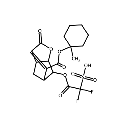 CC1(OC(=O)C2=C3C(=O)OC4C3CC2C4OC(=O)C(F)(F)S(=O)(=O)O)CCCCC1